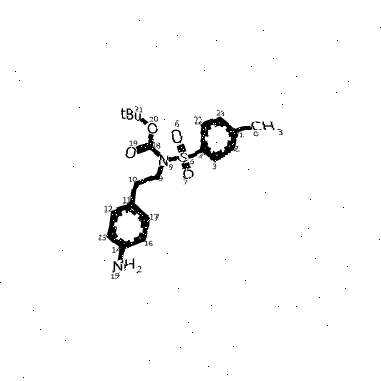 Cc1ccc(S(=O)(=O)N(CCc2ccc(N)cc2)C(=O)OC(C)(C)C)cc1